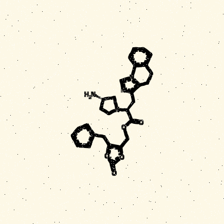 N[C@H]1CCN([C@@H](Cc2ncn3c2CCc2ccccc2-3)C(=O)OCc2oc(=O)oc2Cc2ccccc2)C1